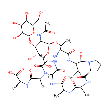 CC(=O)NC1[C@@H](OC(C)[C@H](N)C(=O)NC(C(=O)N2CCC[C@H]2C(=O)NC(C)C(=O)N[C@@H](C)C(=O)NC(C)C(=O)N[C@@H](C)C(=O)NC(C)C(=O)N[C@@H](C)C(=O)O)C(C)C)OC(CO)[C@H](O)[C@@H]1O[C@@H]1OC(CO)[C@H](O)C(O)[C@@H]1O